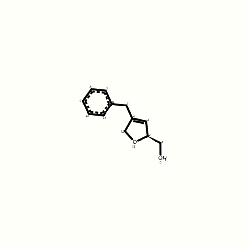 OC[C@@H]1C=C(Cc2ccccc2)CO1